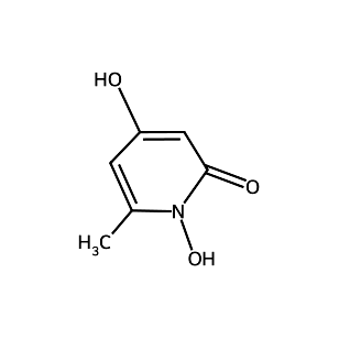 Cc1cc(O)cc(=O)n1O